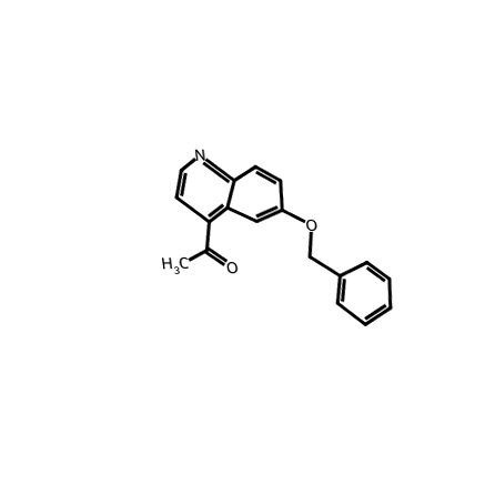 CC(=O)c1ccnc2ccc(OCc3ccccc3)cc12